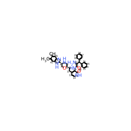 Cc1cc2nc([C@@H]3CO[C@H](CCc4cc[nH]c(=O)c4NC(=O)C(N)C(c4ccccc4)c4ccccc4)CN3)[nH]c2cc1C